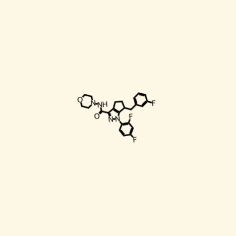 O=C(NN1CCOCC1)c1nn(-c2ccc(F)cc2F)c2c1CCC2Cc1cccc(F)c1